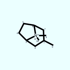 CC1CC2CCC(C1)[N+]2(C)C